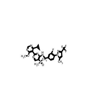 COc1ncnc(C2CC2)c1-c1ncc(P(C)(C)=O)c(NCc2ccc(-n3nc(C(F)(F)F)cc3C)c(F)c2)n1